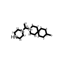 CC1CCC2(CC1)CCN(C(C)N1CCNCC1)CC2